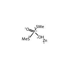 CSP(=O)(O)SC.[Zn]